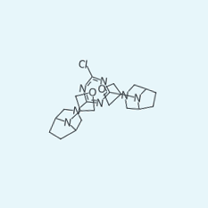 Clc1nc(N2CC3CCC(C2)N3C2COC2)nc(N2CC3CCC(C2)N3C2COC2)n1